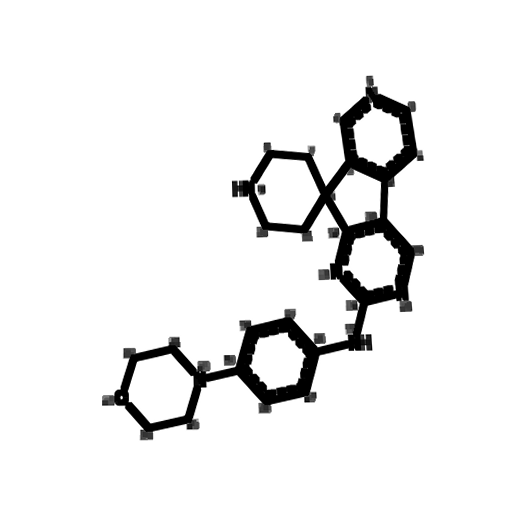 c1cc2c(cn1)C1(CCNCC1)c1nc(Nc3ccc(N4CCOCC4)cc3)ncc1-2